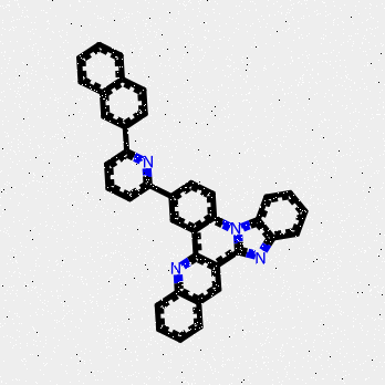 c1cc(-c2ccc3ccccc3c2)nc(-c2ccc3c(c2)c2nc4ccccc4cc2c2nc4ccccc4n32)c1